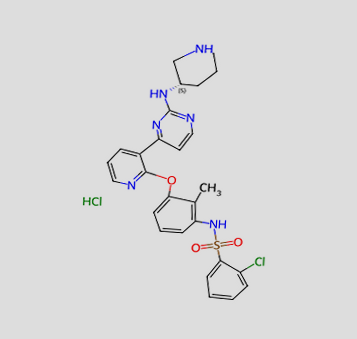 Cc1c(NS(=O)(=O)c2ccccc2Cl)cccc1Oc1ncccc1-c1ccnc(N[C@H]2CCCNC2)n1.Cl